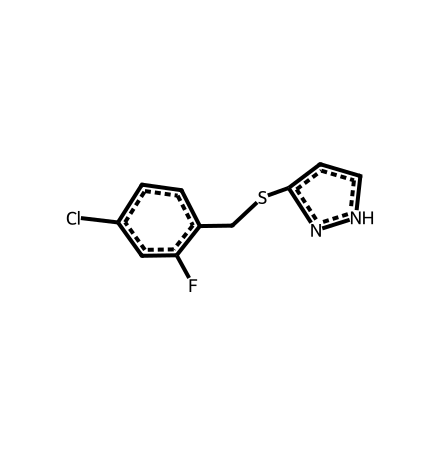 Fc1cc(Cl)ccc1CSc1cc[nH]n1